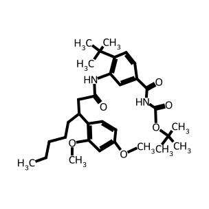 CCCCCC(CC(=O)Nc1cc(C(=O)NC(=O)OC(C)(C)C)ccc1C(C)(C)C)c1ccc(OC)cc1OC